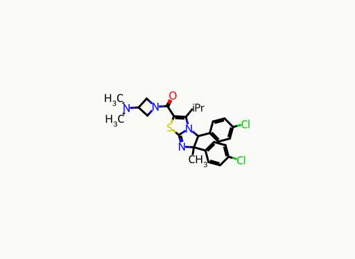 CC(C)C1=C(C(=O)N2CC(N(C)C)C2)SC2=NC(C)(c3ccc(Cl)cc3)C(c3ccc(Cl)cc3)N21